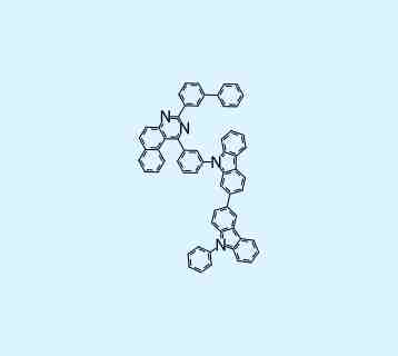 c1ccc(-c2cccc(-c3nc(-c4cccc(-n5c6ccccc6c6ccc(-c7ccc8c(c7)c7ccccc7n8-c7ccccc7)cc65)c4)c4c(ccc5ccccc54)n3)c2)cc1